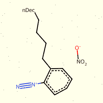 CCCCCCCCCCCCCCc1ccccc1[N+]#N.O=[N+]([O-])[O-]